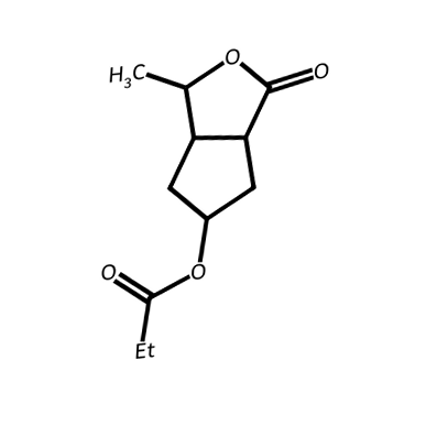 CCC(=O)OC1CC2C(=O)OC(C)C2C1